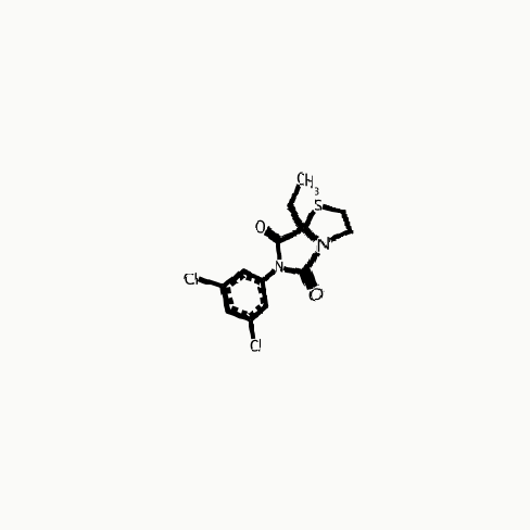 CCC12SCCN1C(=O)N(c1cc(Cl)cc(Cl)c1)C2=O